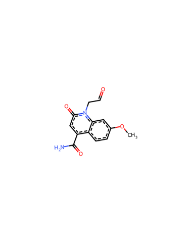 COc1ccc2c(C(N)=O)cc(=O)n(CC=O)c2c1